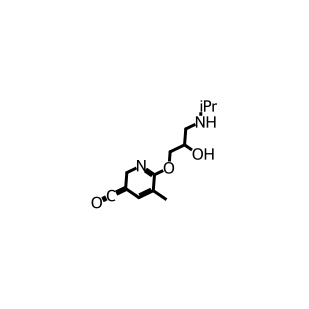 CC1=CC(=C=O)CN=C1OCC(O)CNC(C)C